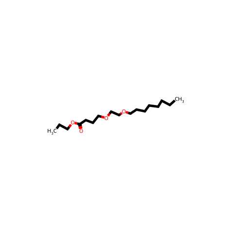 CCCCCCCCOCCOCCCC(=O)OCCC